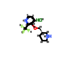 Cl.FC(F)(F)c1ncccc1OC[C@H]1CCCNC1